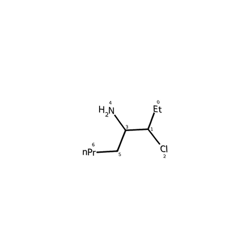 [CH2]CC(Cl)C(N)CCCC